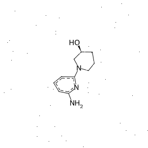 Nc1cccc(N2CCC[C@H](O)C2)n1